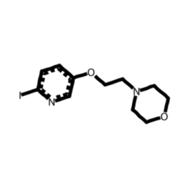 Ic1ccc(OCCN2CCOCC2)cn1